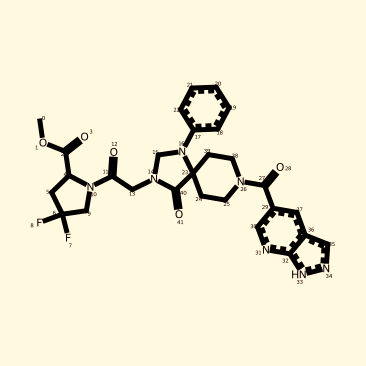 COC(=O)C1CC(F)(F)CN1C(=O)CN1CN(c2ccccc2)C2(CCN(C(=O)c3cnc4[nH]ncc4c3)CC2)C1=O